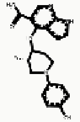 N#Cc1ccc(N2CCC(Nc3c(C(N)=O)cnc4[nH]ccc34)[C@@H](F)C2)cc1